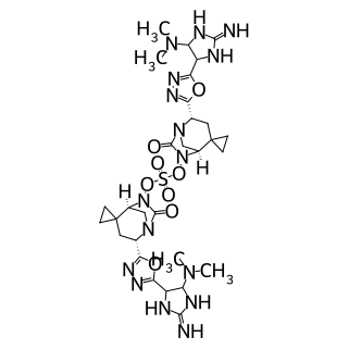 CN(C)C1NC(=N)NC1c1nnc([C@@H]2CC3(CC3)[C@@H]3CN2C(=O)N3OS(=O)(=O)ON2C(=O)N3C[C@H]2C2(CC2)C[C@H]3c2nnc(C3NC(=N)NC3N(C)C)o2)o1